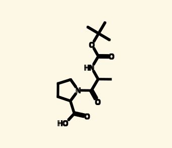 CC(NC(=O)OC(C)(C)C)C(=O)N1CCCC1C(=O)O